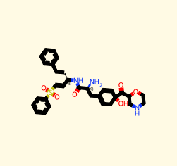 N[C@@H](CC1=CCC(O)(C(=O)C2CNCCO2)C=C1)C(=O)N[C@H](C=CS(=O)(=O)c1ccccc1)CCc1ccccc1